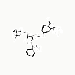 CC1(C)OC(=O)c2ccc(Nc3ncc(C(=O)NNC(=O)C4(C(F)(F)F)CC4)c(N[C@H](CO)c4ccccc4)n3)cc21